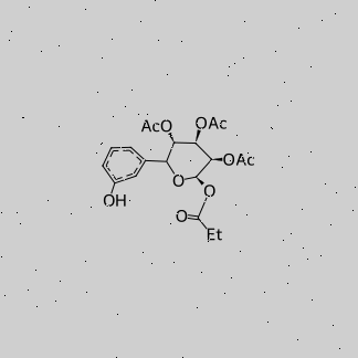 CCC(=O)O[C@H]1OC(c2cccc(O)c2)[C@@H](OC(C)=O)[C@@H](OC(C)=O)[C@H]1OC(C)=O